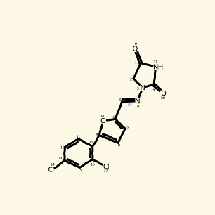 O=C1CN(/N=C/c2ccc(-c3ccc(Cl)cc3Cl)o2)C(=O)N1